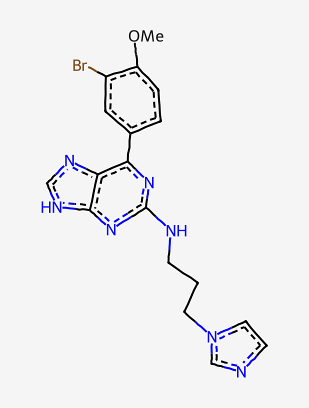 COc1ccc(-c2nc(NCCCn3ccnc3)nc3[nH]cnc23)cc1Br